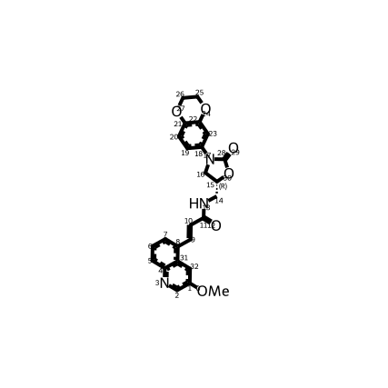 COc1cnc2cccc(C=CC(=O)NC[C@@H]3CN(c4ccc5c(c4)OCCO5)C(=O)O3)c2c1